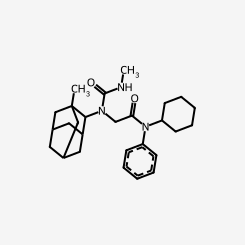 CNC(=O)N(CC(=O)N(c1ccccc1)C1CCCCC1)C1C2CC3CC(C2)CC1(C)C3